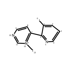 Ic1cccnc1-c1ccnc[n+]1I